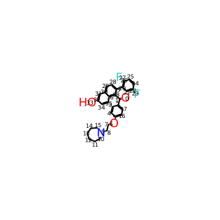 O=C(c1ccc(OCCN2CCCCCC2)cc1)c1c(-c2cc(F)ccc2F)ccc2cc(O)ccc12